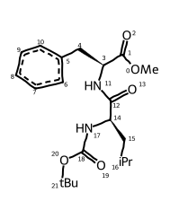 COC(=O)[C@H](Cc1ccccc1)NC(=O)[C@@H](CC(C)C)NC(=O)OC(C)(C)C